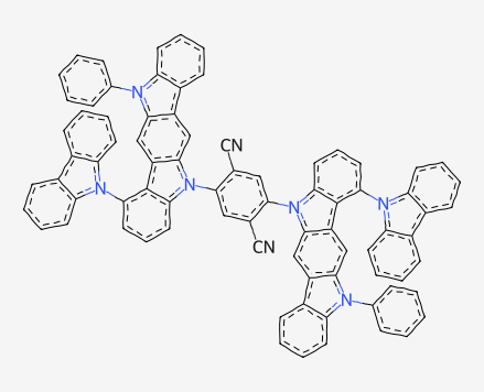 N#Cc1cc(-n2c3cc4c5ccccc5n(-c5ccccc5)c4cc3c3c(-n4c5ccccc5c5ccccc54)cccc32)c(C#N)cc1-n1c2cc3c4ccccc4n(-c4ccccc4)c3cc2c2c(-n3c4ccccc4c4ccccc43)cccc21